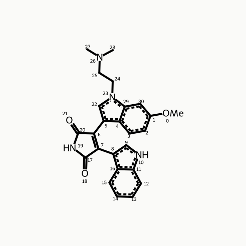 COc1ccc2c(C3=C(c4c[nH]c5ccccc45)C(=O)NC3=O)cn(CCN(C)C)c2c1